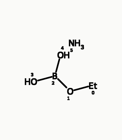 CCOB(O)O.N